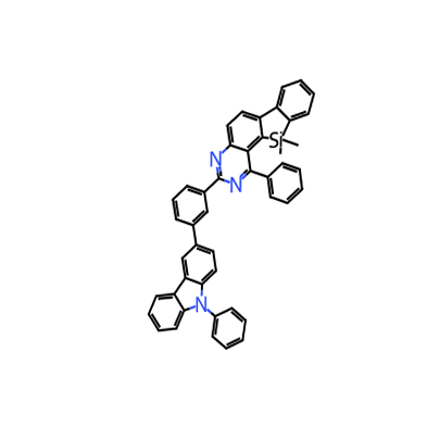 C[Si]1(C)c2ccccc2-c2ccc3nc(-c4cccc(-c5ccc6c(c5)c5ccccc5n6-c5ccccc5)c4)nc(-c4ccccc4)c3c21